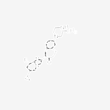 C[C@H]1CN(c2ccc3c(c2)CCC(=O)C(c2cn4cc(C5CC5)cc(F)c4n2)=C3)CCN1